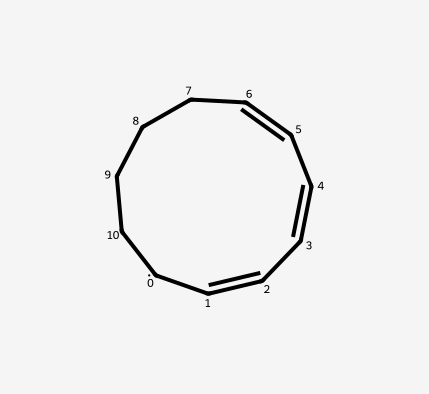 [CH]1\C=C/C=C\C=C/CCCC1